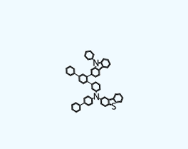 c1ccc(-c2ccc(N(c3cccc(-c4ccc(-c5ccccc5)cc4-c4ccc5c6ccccc6n(-c6ccccc6)c5c4)c3)c3ccc4sc5ccccc5c4c3)cc2)cc1